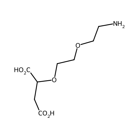 NCCOCCOC(CC(=O)O)C(=O)O